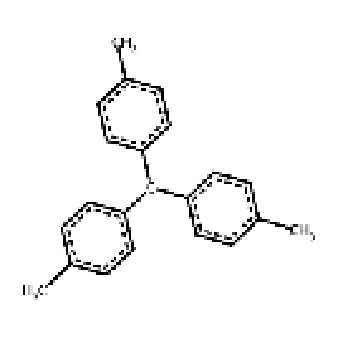 Cc1ccc([C+](c2ccc(C)cc2)c2ccc(C)cc2)cc1